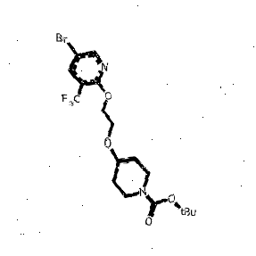 CC(C)(C)OC(=O)N1CCC(OCCOc2ncc(Br)cc2C(F)(F)F)CC1